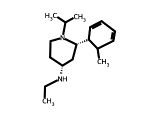 CCN[C@@H]1CCN(C(C)C)[C@H](C2C=CC=CC2C)C1